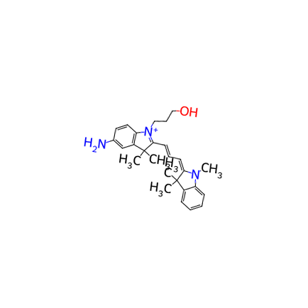 CN1/C(=C/C=C/C2=[N+](CCCO)c3ccc(N)cc3C2(C)C)C(C)(C)c2ccccc21